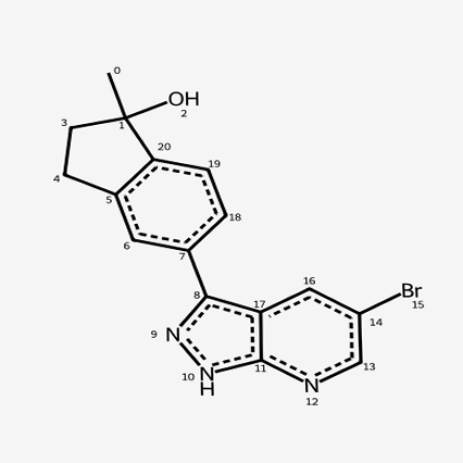 CC1(O)CCc2cc(-c3n[nH]c4ncc(Br)cc34)ccc21